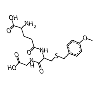 COc1ccc(CSCC(NC(=O)CCC(N)C(=O)O)C(=O)NCC(=O)O)cc1